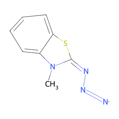 Cn1c(=NN=[N])sc2ccccc21